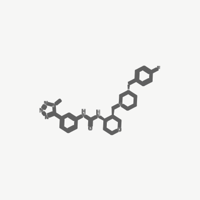 Cn1nnnc1-c1cccc(NC(=O)N[C@@H]2CCOC[C@@H]2CN2CCC[C@@H](Cc3ccc(F)cc3)C2)c1